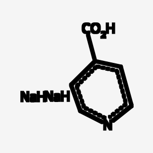 O=C(O)c1ccncc1.[NaH].[NaH]